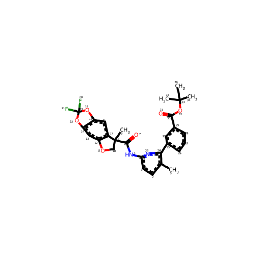 Cc1ccc(NC(=O)C2(C)COc3cc4c(cc32)OC(F)(F)O4)nc1-c1cccc(C(=O)OC(C)(C)C)c1